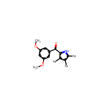 [2H]c1[nH]c(C(=O)c2cc(OC)cc(OC)c2)c([2H])c1[2H]